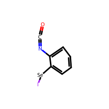 O=C=Nc1ccccc1[Se]I